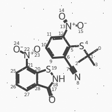 CC(C)(C)Sc1c(C#N)cccc1[N+](=O)[O-].O=c1[nH]sc2c([N+](=O)[O-])cccc12